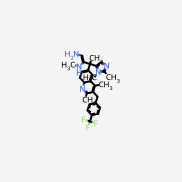 CN/C(=C\N)C(C)(C1=CCC2N=C(C)C(Cc3ccc(C(F)(F)F)cc3)=C(C)C2=C1)c1cnc(C)n1C